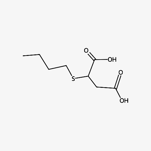 CCCCSC(CC(=O)O)C(=O)O